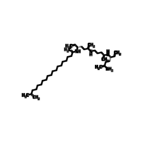 C=C[C@H](CCC(=C)N)NC(=C)CCCNC(=C)CC[C@@H](C=C)NC(=C)CCCCCCCCCCCCCCCCC(=C)C